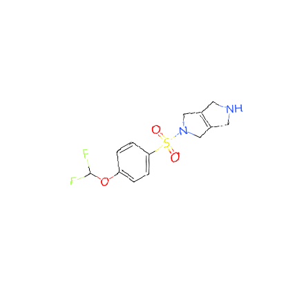 O=S(=O)(c1ccc(OC(F)F)cc1)N1CC2=C(CNC2)C1